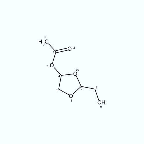 CC(=O)OC1COC(CO)O1